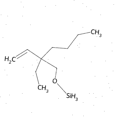 C=CC(CC)(CCCC)CO[SiH3]